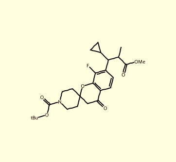 COC(=O)C(C)C(c1ccc2c(c1F)OC1(CCN(C(=O)OC(C)(C)C)CC1)CC2=O)C1CC1